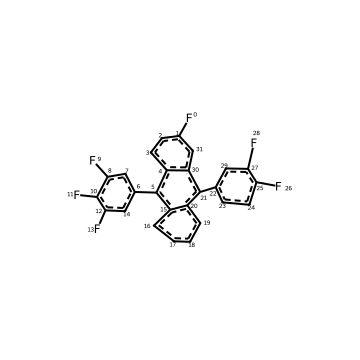 Fc1ccc2c(-c3cc(F)c(F)c(F)c3)c3ccccc3c(-c3ccc(F)c(F)c3)c2c1